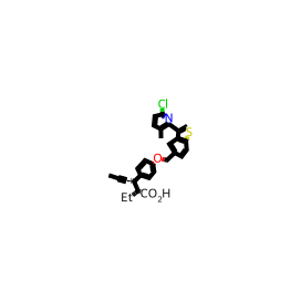 CC#C[C@H](c1ccc(OCc2ccc3scc(-c4nc(Cl)ccc4C)c3c2)cc1)C(CC)C(=O)O